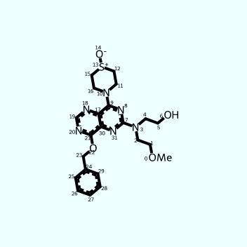 COCCN(CCO)c1nc(N2CC[S+]([O-])CC2)c2ncnc(OCc3ccccc3)c2n1